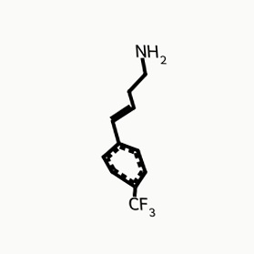 NCCC=Cc1ccc(C(F)(F)F)cc1